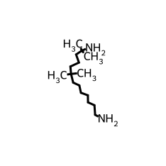 CC(C)(N)CCCC(C)(C)CCCCCCCN